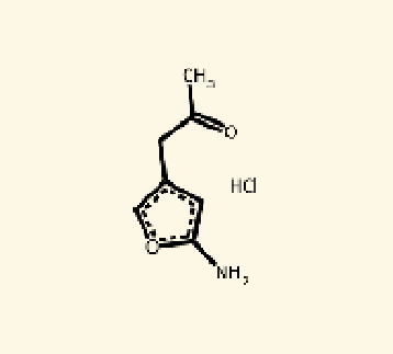 CC(=O)Cc1coc(N)c1.Cl